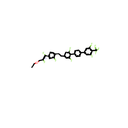 CCOC/C(F)=C(\F)c1ccc(CCc2cc(F)c(-c3ccc(-c4cc(F)c(C(F)(F)F)c(F)c4)cc3)c(F)c2)c(F)c1